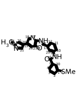 CSc1cccc(C(=O)Nc2cccc(C3Nc4ncc(-c5cnn(C)c5)cc4O3)c2)c1